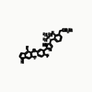 [2H]C([2H])([2H])[C@@H](c1cnc(-c2cc(Oc3c(F)cc4[nH]ccc4c3F)ccc2F)[nH]1)c1cccc(CC(=O)OCC)c1F